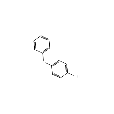 Oc1ccc([Se]c2ccccc2)cc1